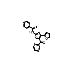 O=C(Nc1nc(-c2ccco2)c(C(=O)c2cnccn2)s1)c1ccncc1